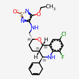 CCOc1n[s+]([O-])nc1NC[C@H]1CC[C@@H]2[C@H](O1)c1cc(Cl)cc(F)c1N[C@H]2C1C=CC=CC1